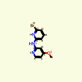 COc1ccnc(Nc2cccc(Br)n2)c1